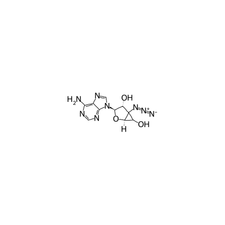 [N-]=[N+]=NC12C(O)[C@H]1O[C@@H](n1cnc3c(N)ncnc31)[C@@H]2O